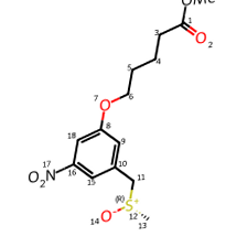 COC(=O)CCCCOc1cc(C[S@+](C)[O-])cc([N+](=O)[O-])c1